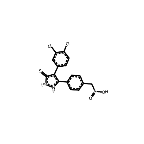 O=S(O)Cc1ccc(-c2[nH][nH]c(=S)c2-c2ccc(Cl)c(Cl)c2)cc1